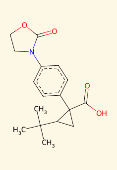 CC(C)(C)C1CC1(C(=O)O)c1ccc(N2CCOC2=O)cc1